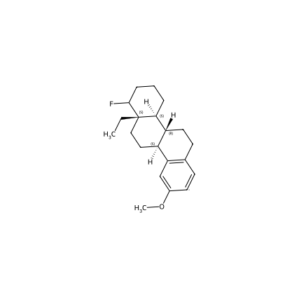 CC[C@]12CC[C@@H]3c4cc(OC)[c]cc4CC[C@H]3[C@@H]1CCCC2F